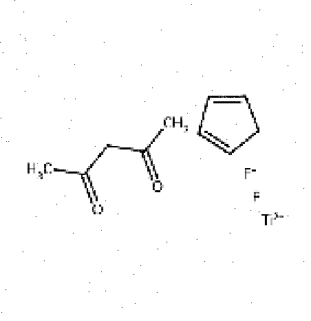 C1=CCC=C1.CC(=O)CC(C)=O.[F-].[F-].[Ti+2]